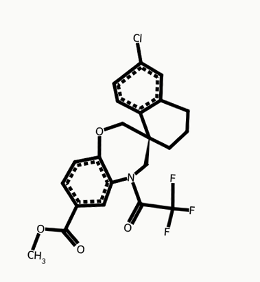 COC(=O)c1ccc2c(c1)N(C(=O)C(F)(F)F)C[C@@]1(CCCc3cc(Cl)ccc31)CO2